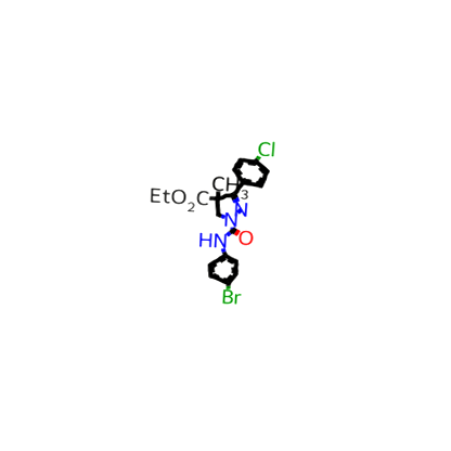 CCOC(=O)C1(C)CN(C(=O)Nc2ccc(Br)cc2)N=C1c1ccc(Cl)cc1